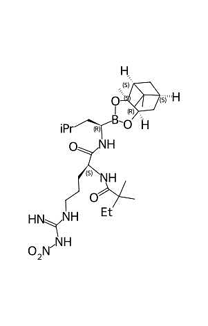 CCC(C)(C)C(=O)N[C@@H](CCCNC(=N)N[N+](=O)[O-])C(=O)N[C@@H](CC(C)C)B1O[C@@H]2C[C@@H]3C[C@@H](C3(C)C)[C@]2(C)O1